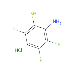 Cl.Nc1c(F)c(F)cc(F)c1S